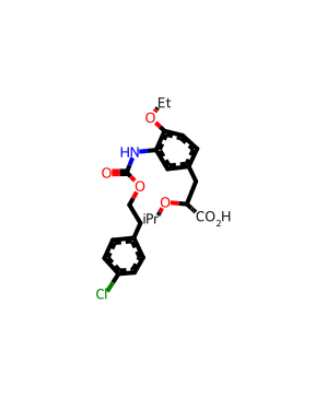 CCOc1ccc(CC(OC(C)C)C(=O)O)cc1NC(=O)OCCc1ccc(Cl)cc1